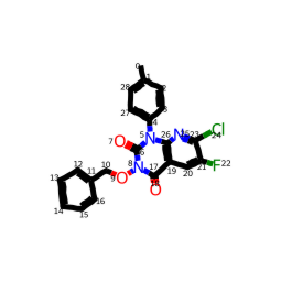 Cc1ccc(-n2c(=O)n(OCc3ccccc3)c(=O)c3cc(F)c(Cl)nc32)cc1